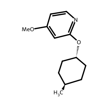 COc1ccnc(O[C@H]2CC[C@H](C)CC2)c1